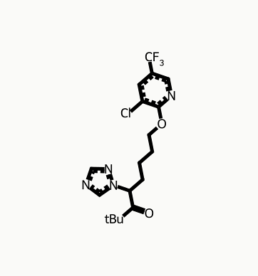 CC(C)(C)C(=O)C(CCCCOc1ncc(C(F)(F)F)cc1Cl)n1cncn1